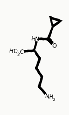 NCCCCC(NC(=O)C1CC1)C(=O)O